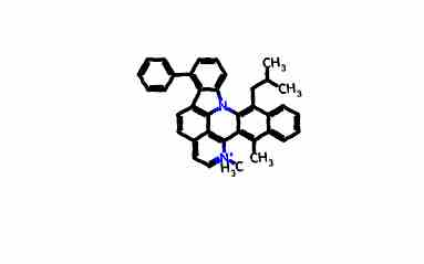 Cc1c2ccccc2c(CC(C)C)c2c1c1c3c(ccc4c5c(-c6ccccc6)cccc5n2c43)cc[n+]1C